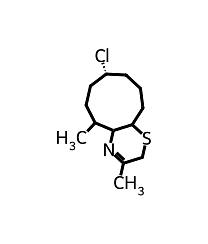 CC1=NC2C(C)CC[C@H](Cl)CCCC2SC1